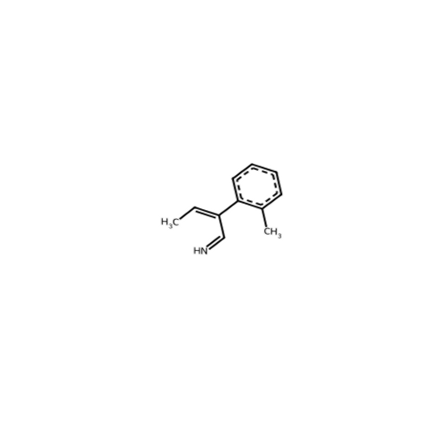 C/C=C(\C=N)c1ccccc1C